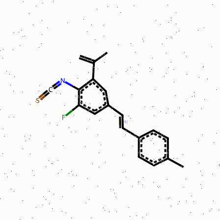 C=C(C)c1cc(/C=C/c2ccc(C)cc2)cc(F)c1N=C=S